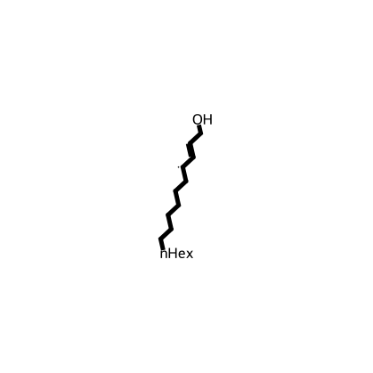 CCCCCCCCCCCC[CH]C=CCO